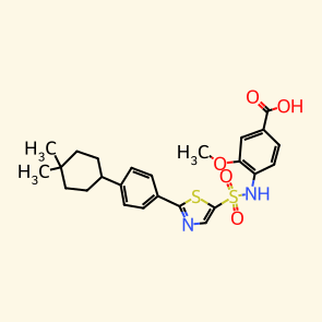 COc1cc(C(=O)O)ccc1NS(=O)(=O)c1cnc(-c2ccc(C3CCC(C)(C)CC3)cc2)s1